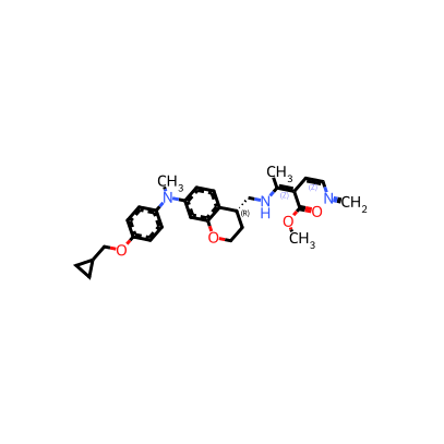 C=N/C=C\C(C(=O)OC)=C(/C)NC[C@@H]1CCOc2cc(N(C)c3ccc(OCC4CC4)cc3)ccc21